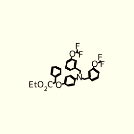 CCOC(=O)C(Oc1ccc(N(Cc2cccc(OC(F)F)c2)Cc2cccc(OC(F)F)c2)cc1)c1ccccc1